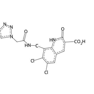 O=C(Cn1ccnn1)NCc1c(Cl)c(Cl)cc2cc(C(=O)O)c(=O)[nH]c12